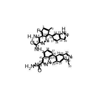 Cc1cc(F)c2c(N)c(C(N)=O)nnc2c1-c1ccc2cn[nH]c2c1.Cc1cc2c(cnn2C)cc1-c1cccc2cc(C(=O)NN)nnc12